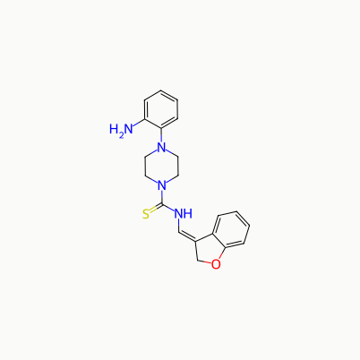 Nc1ccccc1N1CCN(C(=S)N/C=C2/COc3ccccc32)CC1